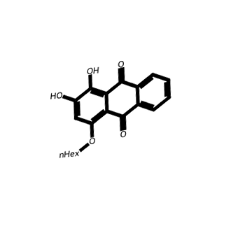 CCCCCCOc1cc(O)c(O)c2c1C(=O)c1ccccc1C2=O